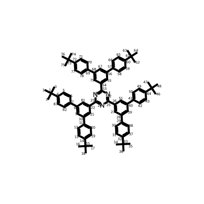 CC(C)(C)c1ccc(-c2cc(-c3ccc(C(C)(C)C)cc3)cc(-c3nc(-c4cc(-c5ccc(C(C)(C)C)cc5)cc(-c5ccc(C(C)(C)C)cc5)c4)nc(-c4cc(-c5ccc(C(C)(C)C)cc5)cc(-c5ccc(C(C)(C)C)cc5)c4)n3)c2)cc1